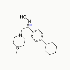 CN1CCN(C/C(=N\O)c2ccc(C3CCCCC3)cc2)CC1